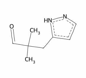 CC(C)(C=O)Cc1ccn[nH]1